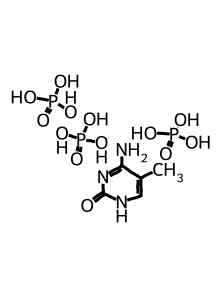 Cc1c[nH]c(=O)nc1N.O=P(O)(O)O.O=P(O)(O)O.O=P(O)(O)O